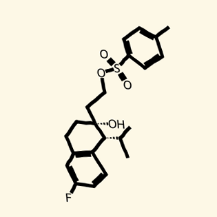 Cc1ccc(S(=O)(=O)OCC[C@]2(O)CCc3cc(F)ccc3[C@H]2C(C)C)cc1